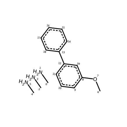 CN.CN.CN.COc1cccc(-c2ccccc2)c1